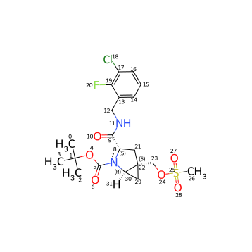 CC(C)(C)OC(=O)N1[C@H](C(=O)NCc2cccc(Cl)c2F)C[C@@]2(COS(C)(=O)=O)C[C@@H]12